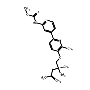 C=C(C)C[C@](C)(N)COc1ccc(-c2ccnc(NC(=O)OC)c2)nc1C